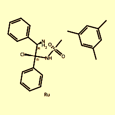 CS(=O)(=O)N[C@](Cl)(c1ccccc1)[C@H](N)c1ccccc1.Cc1cc(C)cc(C)c1.[Ru]